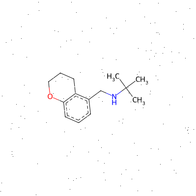 CC(C)(C)NCc1cccc2c1CCCO2